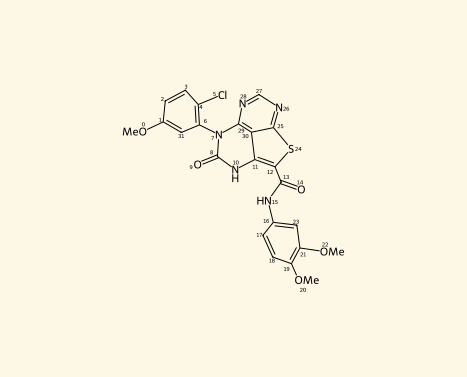 COc1ccc(Cl)c(N2C(=O)Nc3c(C(=O)Nc4ccc(OC)c(OC)c4)sc4ncnc2c34)c1